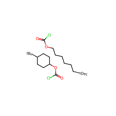 CC(C)(C)C1CCC(OC(=O)Cl)CC1.CCCCCCCCCCCCCCCCOC(=O)Cl